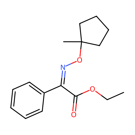 CCOC(=O)C(=NOC1(C)CCCC1)c1ccccc1